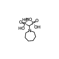 O=P(O)(O)C(N1CCCCCC1)P(=O)(O)O